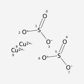 O=S([O-])[O-].O=S([O-])[O-].[Cu+2].[Cu+2]